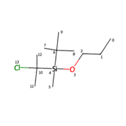 CCCO[Si](C)(C(C)(C)C)C(C)(C)Cl